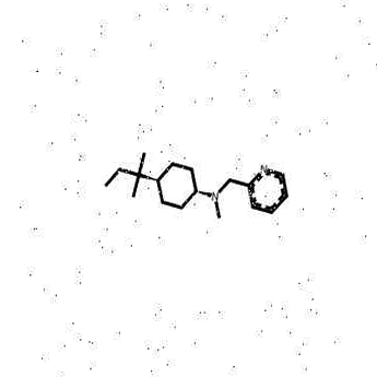 CCC(C)(C)[C@H]1CC[C@@H](N(C)Cc2ccccn2)CC1